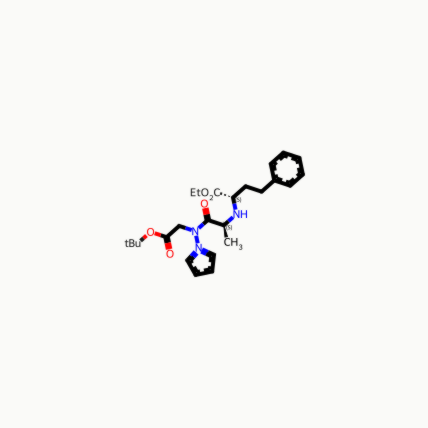 CCOC(=O)[C@H](CCc1ccccc1)N[C@@H](C)C(=O)N(CC(=O)OC(C)(C)C)n1cccc1